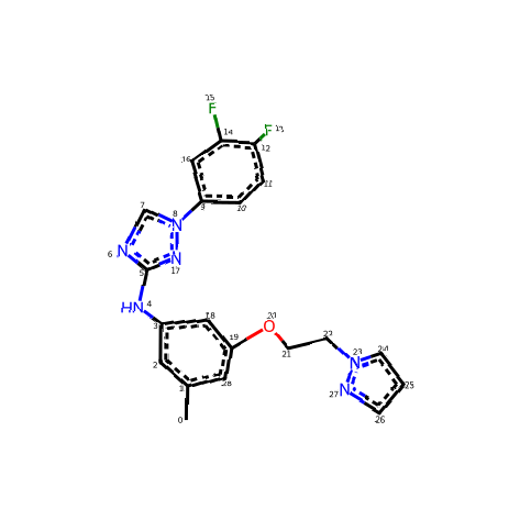 Cc1cc(Nc2ncn(-c3ccc(F)c(F)c3)n2)cc(OCCn2cccn2)c1